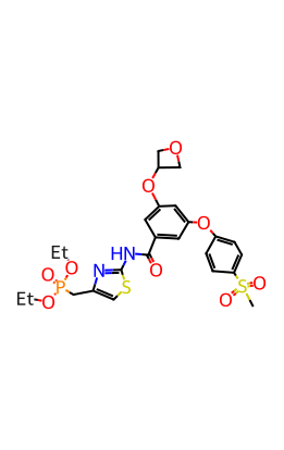 CCOP(=O)(Cc1csc(NC(=O)c2cc(Oc3ccc(S(C)(=O)=O)cc3)cc(OC3COC3)c2)n1)OCC